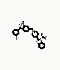 Cn1nc(-c2cccc(F)c2)c2ccc(CN3CCC(c4nc5ccccc5n4C(F)F)CC3)cc21